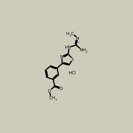 C/N=C(/N)Nc1nc(-c2cccc(C(=O)OC)c2)cs1.Cl